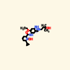 CCOC1=CC(=N)/C(=C\NCCC(C)(C)O)C=C1NC(=O)c1cccc(C2CC2)[n+]1O